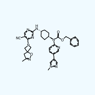 CC1=NOC2(C1)CN(c1nc(N[C@H]3CC[C@H](N(C(=O)OCc4ccccc4)c4ccc(-c5cnn(C)c5)cn4)CC3)ncc1C#N)C2